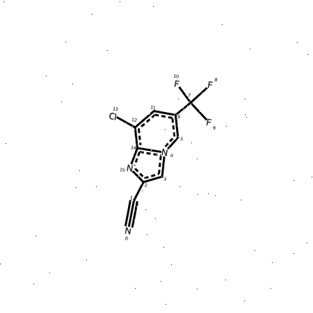 N#Cc1cn2cc(C(F)(F)F)cc(Cl)c2n1